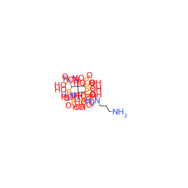 NCC(C(P(=O)(O)O)P(=O)(O)O)(C(P(=O)(O)O)P(=O)(O)O)C(N)(C(P(=O)(O)O)P(=O)(O)O)C(P(=O)(O)O)P(=O)(O)O.NCCCN